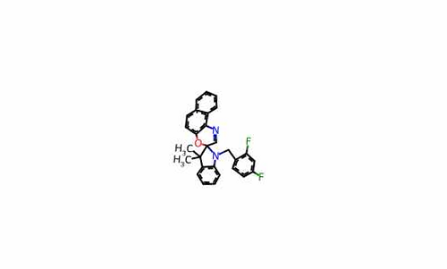 CC1(C)c2ccccc2N(Cc2ccc(F)cc2F)C12C=Nc1c(ccc3ccccc13)O2